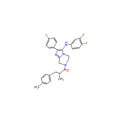 Cc1ccc(CC(C)C(=O)N2CCn3c(nc(-c4ccc(F)cc4)c3Nc3ccc(F)c(F)c3)C2)cc1